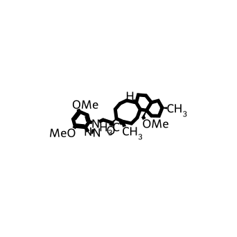 COC[C@]12CC[C@H](C)CC1CC[C@H]1CCC[C@H](C(=O)Cn3nnc4c(OC)cc(OC)cc43)C(C)(C)CCC12